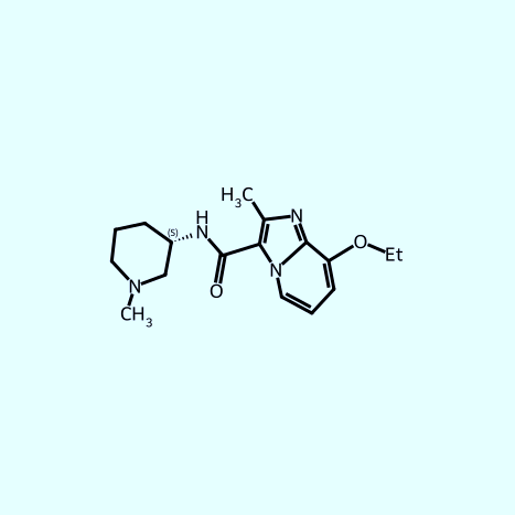 CCOc1cccn2c(C(=O)N[C@H]3CCCN(C)C3)c(C)nc12